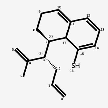 C=CC[C@H](C(=C)C)[C@H]1CCC=C2C=CC=C(S)C21